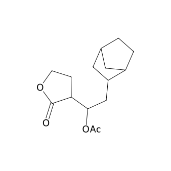 CC(=O)OC(CC1CC2CCC1C2)C1CCOC1=O